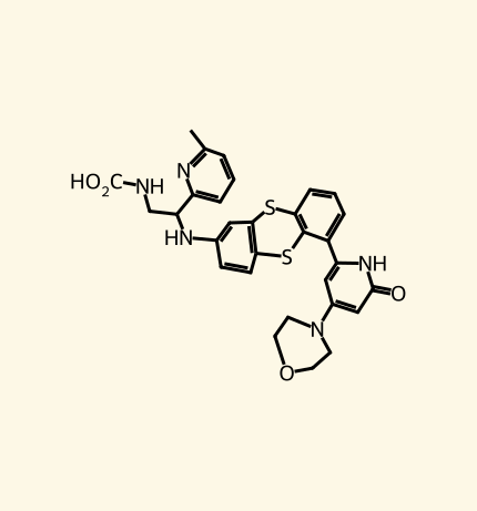 Cc1cccc(C(CNC(=O)O)Nc2ccc3c(c2)Sc2cccc(-c4cc(N5CCOCC5)cc(=O)[nH]4)c2S3)n1